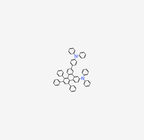 c1ccc(-c2cc(-c3ccccc3)c3c4ccc(N(c5ccccc5)c5ccccc5)cc4c4cc(-c5ccc(N(c6ccccc6)c6ccccc6)cc5)ccc4c3c2-c2ccccc2)cc1